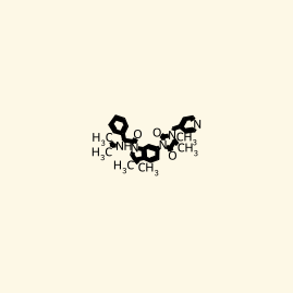 CC(C)NC(C(=O)N1CC(C)(C)c2ccc(N3C(=O)N(Cc4ccncc4)C(C)(C)C3=O)cc21)c1ccccc1